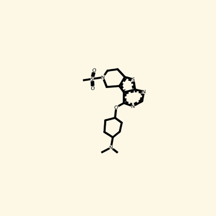 CN(C)C1CCC(Oc2ncnc3sc4c(c23)CN(S(C)(=O)=O)CC4)CC1